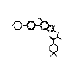 CC(Oc1nc2nc(-c3ccc(N4CCOCC4)cc3)c(Cl)cc2[nH]1)C(=O)N1CCC(F)(F)CC1